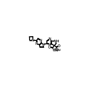 CC(C)(C)C(=O)C1(C(=O)C(C)(C)C)CNc2ncc(-n3ccc4nc(N5CCCC5)cnc43)nc21